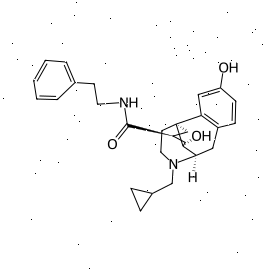 O=C(NCCc1ccccc1)[C@H]1C[C@]23CCN(CC4CC4)[C@H](Cc4ccc(O)cc42)[C@]3(O)C1